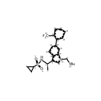 C[C@@H](NS(=O)(=O)C1CC1)c1cn(CC(C)(C)C)c2cc(-c3ccccc3C(F)(F)F)ccc12